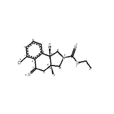 CCOC(=O)N1C[C@H]2c3cccc(Cl)c3C(=O)C[C@@]2(C)C1